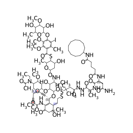 CC#C/C=C\C#C[C@H](OC1OC(C)C(NOC2CC(O)C(SC(=O)c3c(C)c(I)c(OC4OC(C)C(O)C(OC)C4O)c(OC)c3OC)C(C)O2)C(O)C1OC1CC(OC)C(N(CC)C(C)=O)CO1)C1=C(NC(=O)OC)C(=O)C[C@](C)(O)/C1=C/CSSC(C)(C)CC(=O)NNC(=O)[C@H](C)NC(=O)[C@H](CC(N)=O)NC(=O)CCCC(=O)NC1CCCCCCCCCC1